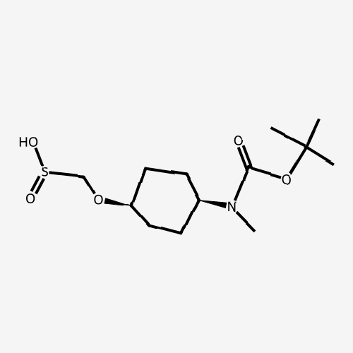 CN(C(=O)OC(C)(C)C)[C@H]1CC[C@@H](OCS(=O)O)CC1